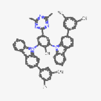 Cc1nc(C)nc(-c2cc(-n3c4ccccc4c4ccc(-c5cc(C#N)cc(C#N)c5)cc43)c(C#N)c(-n3c4ccccc4c4ccc(-c5cc(C#N)cc(C#N)c5)cc43)c2)n1